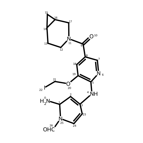 NC1C=C(Nc2ncc(C(=O)N3CCC4CC4C3)cc2OCI)C=CN1C=O